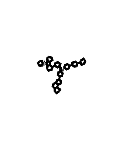 c1ccc(-c2ccc(-c3ccc(N(c4ccc(-c5ccc6c(ccc7ccccc76)c5)cc4)c4cccc(-c5cccc6c5c5ccccc5n6-c5ccccc5)c4)cc3)cc2)cc1